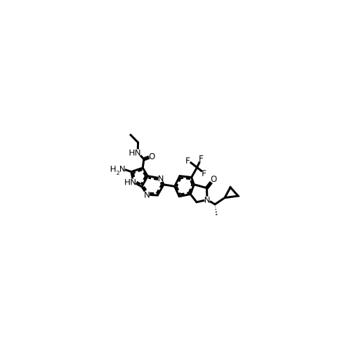 CCNC(=O)c1c(N)[nH]c2ncc(-c3cc4c(c(C(F)(F)F)c3)C(=O)N([C@@H](C)C3CC3)C4)nc12